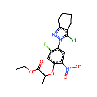 CCOC(=O)C(C)Oc1cc(F)c(-n2nc3c(c2Cl)CCCC3)cc1[N+](=O)[O-]